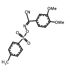 COc1ccc(/C(C#N)=N\OS(=O)(=O)c2ccc(C)cc2)cc1OC